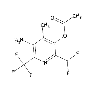 CC(=O)Oc1c(C(F)F)nc(C(F)(F)F)c(N)c1C